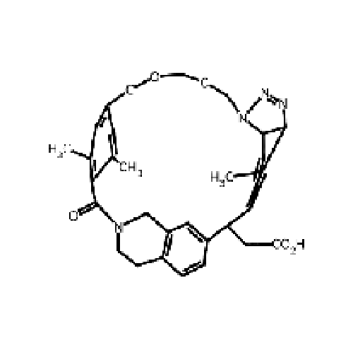 CC1=C2C=CC3C1N=NN3CCCOCc1cc(C)c(c(C)c1)C(=O)N1CCc3ccc(cc3C1)C2CC(=O)O